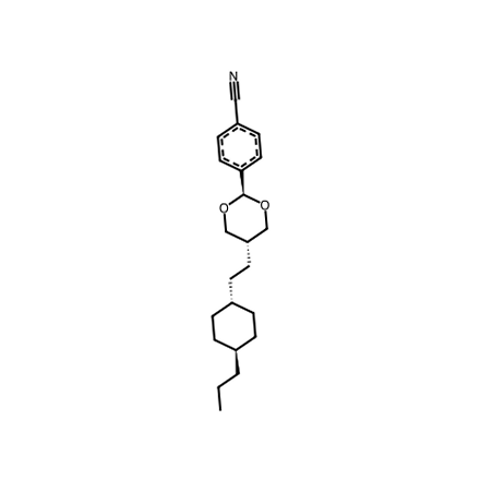 CCC[C@H]1CC[C@H](CC[C@H]2CO[C@H](c3ccc(C#N)cc3)OC2)CC1